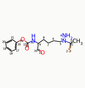 CC(=S)N(N)CCCCC(C=O)NC(=O)Oc1ccccc1